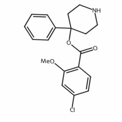 COc1cc(Cl)ccc1C(=O)OC1(c2ccccc2)CCNCC1